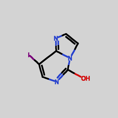 Oc1ncc(I)c2nccn12